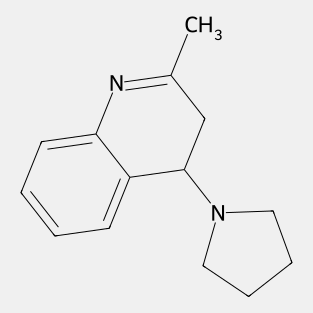 CC1=Nc2ccccc2C(N2CCCC2)C1